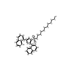 CCCCCCCCCCCCS(=O)(=O)c1cc(-c2cccc3ccccc23)sc1-c1cccc2ccccc12